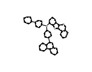 c1ccc(-c2ccc(N(c3ccc(-c4cc5ccccc5c5ccccc45)cc3)c3cccc4c3oc3c5ccccc5cnc43)cc2)cc1